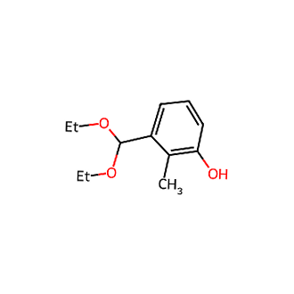 CCOC(OCC)c1cccc(O)c1C